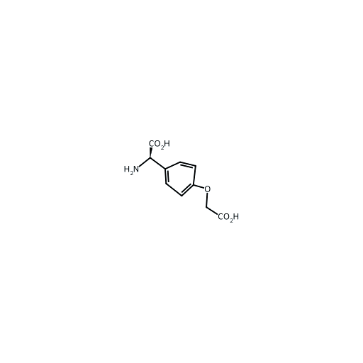 N[C@@H](C(=O)O)c1ccc(OCC(=O)O)cc1